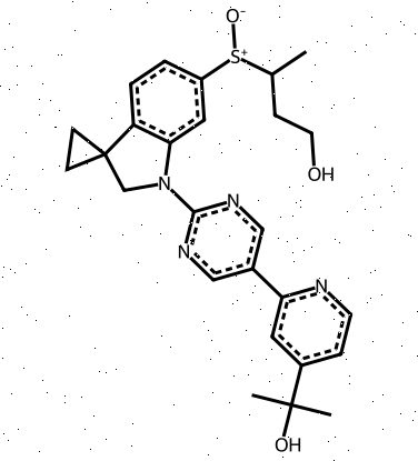 CC(CCO)[S+]([O-])c1ccc2c(c1)N(c1ncc(-c3cc(C(C)(C)O)ccn3)cn1)CC21CC1